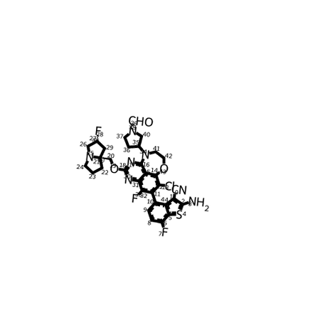 N#Cc1c(N)sc2c(F)ccc(-c3c(Cl)c4c5c(nc(OC[C@@]67CCCN6C[C@H](F)C7)nc5c3F)N(C3CCN(C=O)C3)CCO4)c12